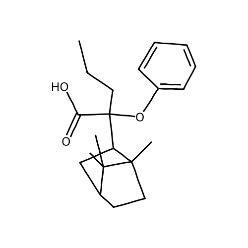 CCCC(Oc1ccccc1)(C(=O)O)C1CC2CCC1(C)C2(C)C